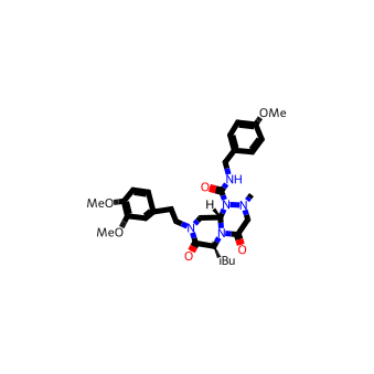 CCC(C)[C@H]1C(=O)N(CCc2ccc(OC)c(OC)c2)C[C@H]2N1C(=O)CN(C)N2C(=O)NCc1ccc(OC)cc1